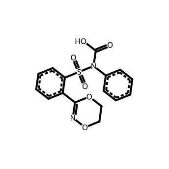 O=C(O)N(c1ccccc1)S(=O)(=O)c1ccccc1C1=NOCCO1